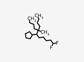 CCCCC(C)(CCCC)C(CCCCC(F)F)C1CCCC1